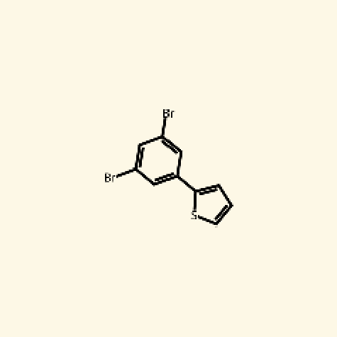 Brc1cc(Br)cc(-c2cc[c]s2)c1